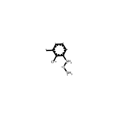 Cc1cccc([SiH2]O[SiH3])c1Cl